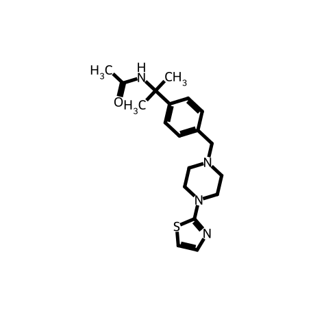 CC(=O)NC(C)(C)c1ccc(CN2CCN(c3nccs3)CC2)cc1